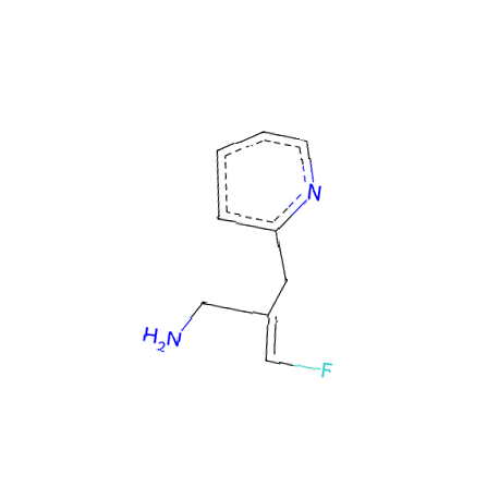 NC/C(=C/F)Cc1ccccn1